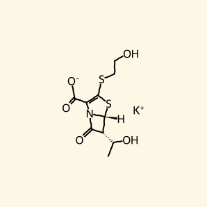 CC(O)[C@@H]1C(=O)N2C(C(=O)[O-])=C(SCCO)S[C@H]12.[K+]